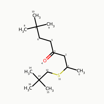 CC(CC(=O)CCC(C)(C)C)SCC(C)(C)C